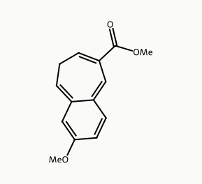 COC(=O)C1=CCC=c2cc(OC)ccc2=C1